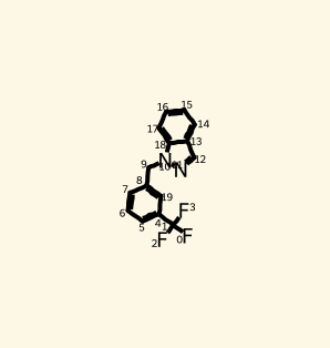 FC(F)(F)c1cccc(Cn2ncc3ccccc32)c1